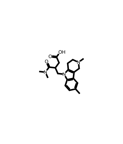 Cc1ccc2c(c1)c1c(n2CC(CC(=O)O)C(=O)N(C)C)CCN(C)C1